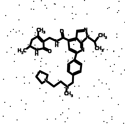 CC1=C(CNC(=O)c2cc(-c3ccc(CN(C)CCN4CCCC4)cc3)nc3c2cnn3C(C)C)C(=O)NC(C)C1